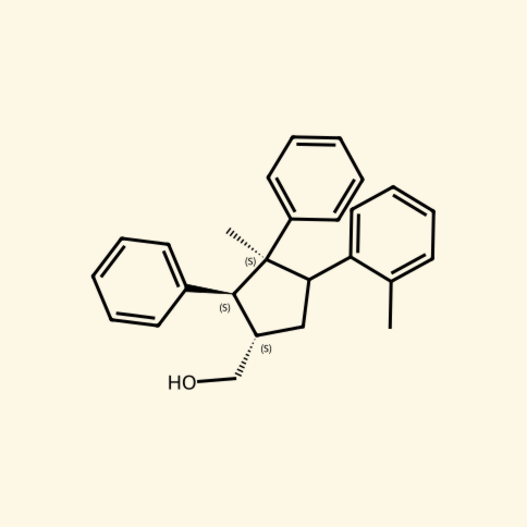 Cc1ccccc1C1C[C@H](CO)[C@@H](c2ccccc2)[C@@]1(C)c1ccccc1